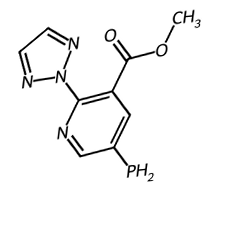 COC(=O)c1cc(P)cnc1-n1nccn1